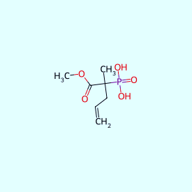 C=CCC(C)(C(=O)OC)P(=O)(O)O